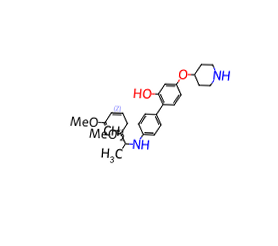 C=C(/C=C\C[C@H](OC)C(C)Nc1ccc(-c2ccc(OC3CCNCC3)cc2O)cc1)OC